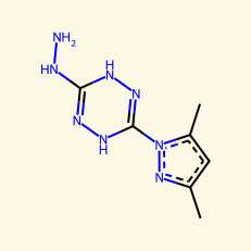 Cc1cc(C)n(C2=NNC(NN)=NN2)n1